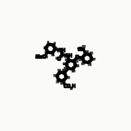 COc1cccc(NC(=O)Nc2cc(-c3cccc(C(=O)O)c3)ccc2Oc2ccccc2C(C)(C)C)c1